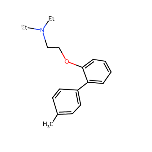 CCN(CC)CCOc1ccccc1-c1ccc(C)cc1